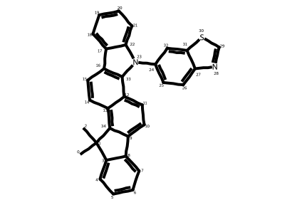 CC1(C)c2ccccc2-c2ccc3c(ccc4c5ccccc5n(-c5ccc6ncsc6c5)c34)c21